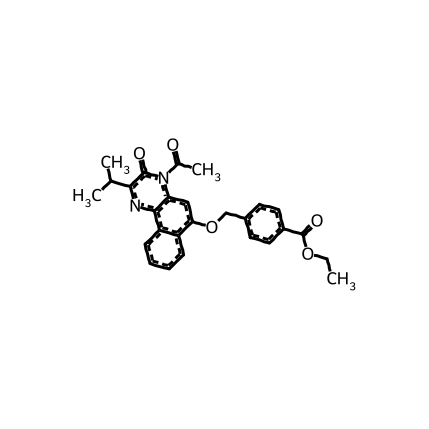 CCOC(=O)c1ccc(COc2cc3c(nc(C(C)C)c(=O)n3C(C)=O)c3ccccc23)cc1